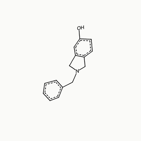 Oc1ccc2c(c1)CN(Cc1ccccc1)C2